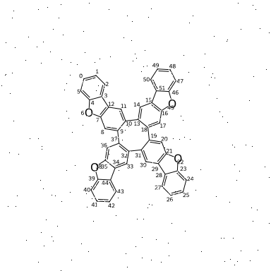 c1ccc2c(c1)oc1cc3c(cc12)-c1cc2c(cc1-c1cc4oc5ccccc5c4cc1-c1cc4c(cc1-3)oc1ccccc14)oc1ccccc12